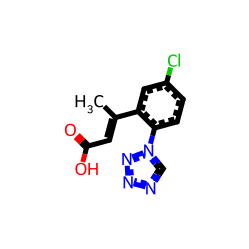 CC(=CC(=O)O)c1cc(Cl)ccc1-n1cnnn1